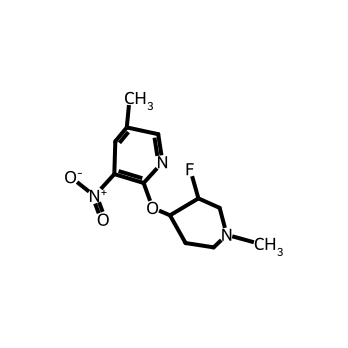 Cc1cnc(OC2CCN(C)CC2F)c([N+](=O)[O-])c1